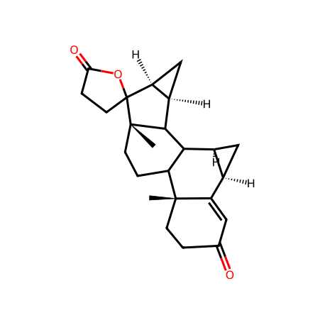 C[C@]12CCC(=O)C=C1[C@@H]1C[C@@H]1C1C2CC[C@@]2(C)C1[C@@H]1C[C@@H]1C21CCC(=O)O1